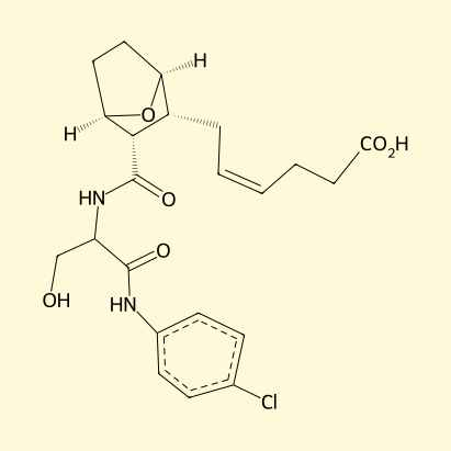 O=C(O)CC/C=C\C[C@@H]1[C@H](C(=O)NC(CO)C(=O)Nc2ccc(Cl)cc2)[C@H]2CC[C@@H]1O2